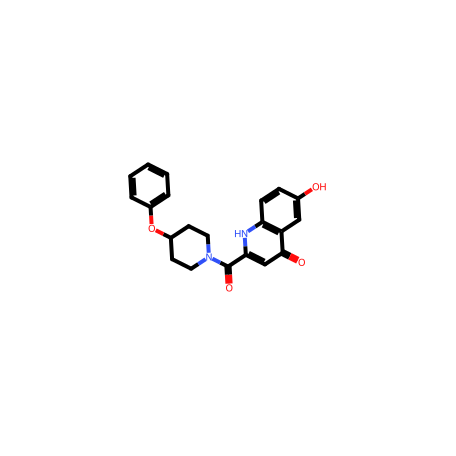 O=C(c1cc(=O)c2cc(O)ccc2[nH]1)N1CCC(Oc2ccccc2)CC1